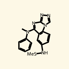 CSNc1ccc2c(c1)c(N(C)c1ccccc1)nc1nncn12